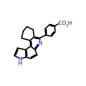 O=C(O)c1ccc(-c2nc3ccc4[nH]ccc4c3c3c2CCCC3)cc1